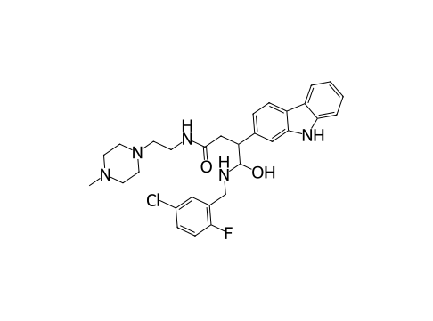 CN1CCN(CCNC(=O)CC(c2ccc3c(c2)[nH]c2ccccc23)C(O)NCc2cc(Cl)ccc2F)CC1